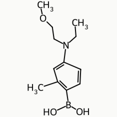 CCN(CCOC)c1ccc(B(O)O)c(C)c1